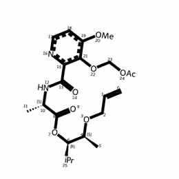 C=CCO[C@@H](C)[C@H](OC(=O)[C@H](C)NC(=O)c1nccc(OC)c1OCOC(C)=O)C(C)C